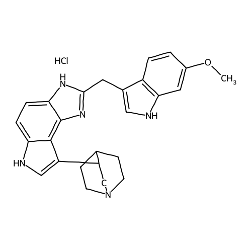 COc1ccc2c(Cc3nc4c(ccc5[nH]cc(C6CN7CCC6CC7)c54)[nH]3)c[nH]c2c1.Cl